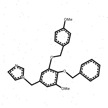 COc1ccc(COc2cc(Cn3ccnc3)cc(OC)c2OCc2ccccc2)cc1